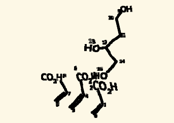 C=CC(=O)O.C=CC(=O)O.C=CC(=O)O.OCCC(O)CO